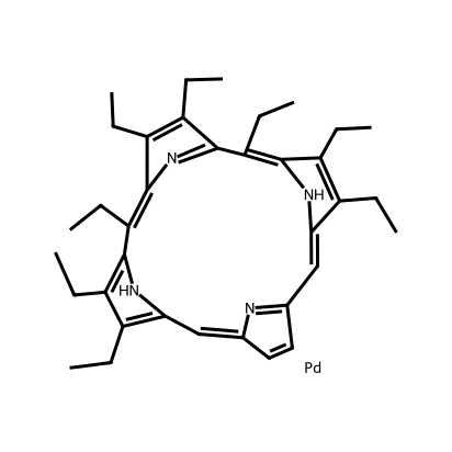 CCC1=C(CC)c2nc1c(CC)c1[nH]c(cc3nc(cc4[nH]c(c2CC)c(CC)c4CC)C=C3)c(CC)c1CC.[Pd]